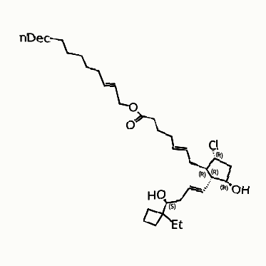 CCCCCCCCCCCCCCCC=CCOC(=O)CCCC=CC[C@@H]1[C@@H](C=CC[C@H](O)C2(CC)CCC2)[C@H](O)C[C@H]1Cl